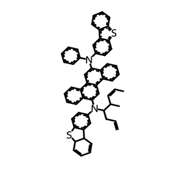 C=CCC(C(C)/C=C\C)N(c1ccc2c(c1)C1C=CC=CC1S2)c1cc2c3ccccc3c(N(c3ccccc3)c3ccc4sc5ccccc5c4c3)cc2c2ccccc12